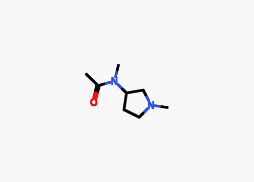 CC(=O)N(C)C1CCN(C)C1